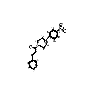 O=C(CCc1ccccc1)N1CCN(c2ccc([N+](=O)[O-])cc2)CC1